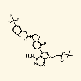 CC(C)(C)OC(=O)CCn1cc(-c2ccc3c(c2F)CCN3C(=O)Cc2cc(C(F)(F)F)ccc2F)c2c(N)ncnc21